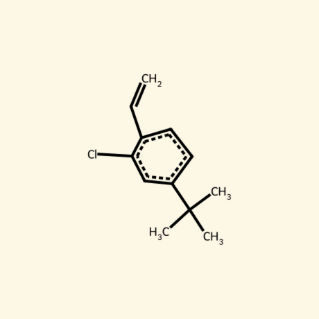 C=Cc1ccc(C(C)(C)C)cc1Cl